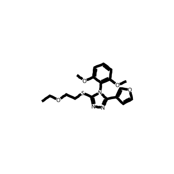 CCOCCSc1nnc(-c2ccoc2)n1-c1c(OC)cccc1OC